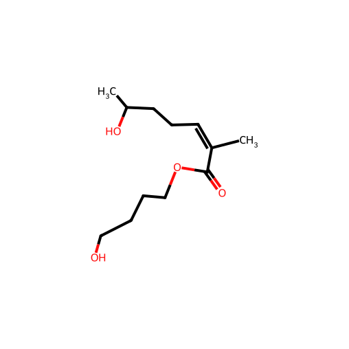 CC(=CCCC(C)O)C(=O)OCCCCO